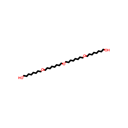 OCCCCCCCCOCCCCCCCCOCCCCCCCCOCCCCCCCCO